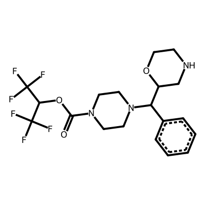 O=C(OC(C(F)(F)F)C(F)(F)F)N1CCN(C(c2ccccc2)C2CNCCO2)CC1